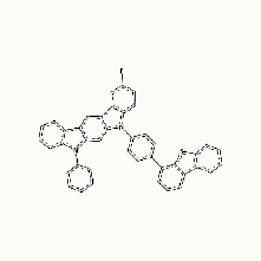 Fc1ccc2c(c1)c1cc3c4ccccc4n(-c4ccccc4)c3cc1n2-c1ccc(-c2cccc3c2sc2ccccc23)cc1